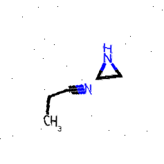 C1CN1.CCC#N